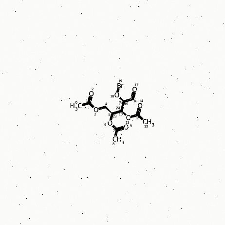 CC(=O)OC[C@H](OC(C)=O)[C@H](OC(C)=O)[C@H](C=O)OBr